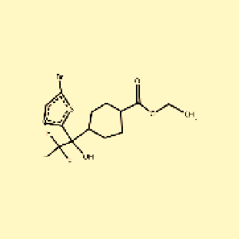 CCOC(=O)C1CCC(C(O)(c2ncc(Br)s2)C(F)(F)F)CC1